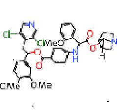 COc1ccc(C(Cc2c(Cl)cncc2Cl)OC(=O)c2ccc(NC(C(=O)O[C@H]3CN4CCC3CC4)c3ccccc3OC)cc2)cc1OC